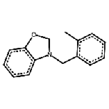 Cc1ccccc1CN1COc2ccccc21